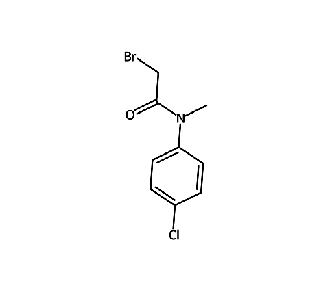 CN(C(=O)CBr)c1ccc(Cl)cc1